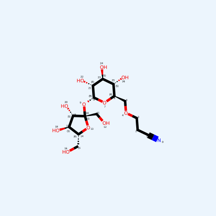 N#CCCOC[C@H]1O[C@H](O[C@]2(CO)O[C@H](CO)[C@@H](O)[C@@H]2O)[C@H](O)[C@@H](O)[C@@H]1O